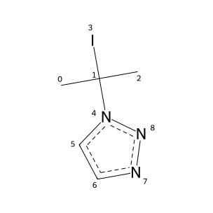 CC(C)(I)n1ccnn1